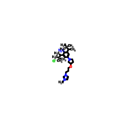 CC(c1cc(N2CCC(OCCCn3cc[n+](C)c3)C2)cc(C(C)[Si](C)(C)C)c1N)[Si](C)(C)C.[Cl-]